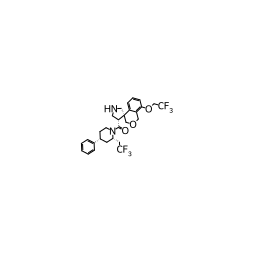 O=C([C@@H]1CNC[C@]12COCc1c(OCC(F)(F)F)cccc12)N1CC[C@@H](c2ccccc2)C[C@H]1CC(F)(F)F